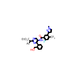 CCOC(=O)C(C(C)=O)c1ncc(NC(=O)c2cc(-c3ccn(C)n3)c(C(F)(F)F)cc2F)c(-c2ccccc2CO)n1